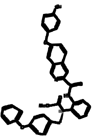 COC(=O)[C@@H](Cc1ccc(Oc2ccccc2)cc1)c1ccccc1NC(=O)c1cc2ccc(Oc3ccc(C(C)(C)C)cc3)cc2cn1